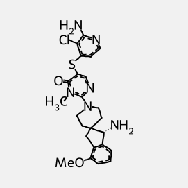 COc1cccc2c1CC1(CCN(c3ncc(Sc4ccnc(N)c4Cl)c(=O)n3C)CC1)[C@@H]2N